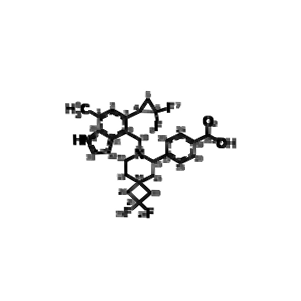 Cc1cc(C2CC2(F)F)c(CN2CCC3(CC2c2ccc(C(=O)O)cc2)CC(F)(F)C3)c2cc[nH]c12